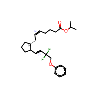 CC(C)OC(=O)CCC/C=C\C[C@H]1CCCC1/C=C/C(F)(F)COc1ccccc1